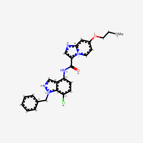 COCCOc1ccn2c(C(=O)Nc3ccc(Cl)c4c3cnn4Cc3ccccc3)cnc2c1